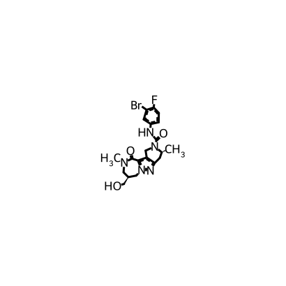 C[C@@H]1Cc2nn3c(c2CN1C(=O)Nc1ccc(F)c(Br)c1)C(=O)N(C)C[C@H](CO)C3